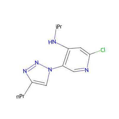 CCCc1cn(-c2cnc(Cl)cc2NC(C)C)nn1